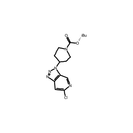 CC[C@@H](C)OC(=O)N1CCC(n2nnc3cc(Cl)ncc32)CC1